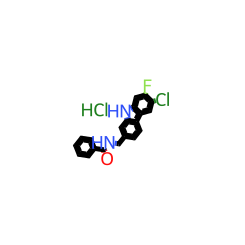 Cl.O=C(NCc1ccc2c(c1)[nH]c1cc(F)c(Cl)cc12)c1ccccc1